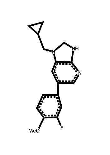 COc1ccc(-c2cnc3c(c2)N(CC2CC2)CN3)cc1F